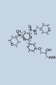 CNCC(O)COc1cccc(-c2nc(C(=O)NCC3CCOCC3)cc(N(C)C3CCOCC3)n2)c1